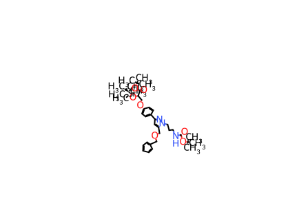 CC(C)(C)OC(=O)NCCCn1nc(-c2ccc(OCC(O[Si](C)(C)C(C)(C)C)C(=O)OC(C)(C)C)cc2)cc1COCc1ccccc1